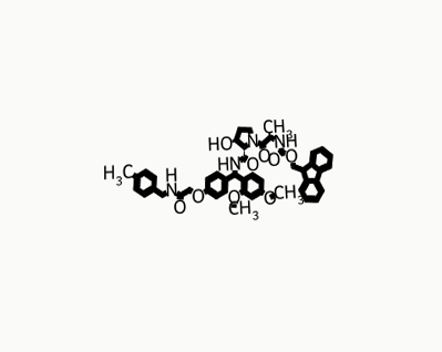 COc1ccc(C(NC(=O)[C@@H]2[C@@H](O)CCN2C(=O)[C@H](C)NC(=O)OCC2c3ccccc3-c3ccccc32)c2ccc(OCC(=O)NCc3ccc(C)cc3)cc2)c(OC)c1